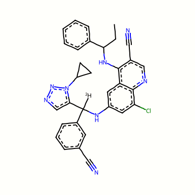 [2H]C(Nc1cc(Cl)c2ncc(C#N)c(NC(CC)c3ccccc3)c2c1)(c1cccc(C#N)c1)c1cnnn1C1CC1